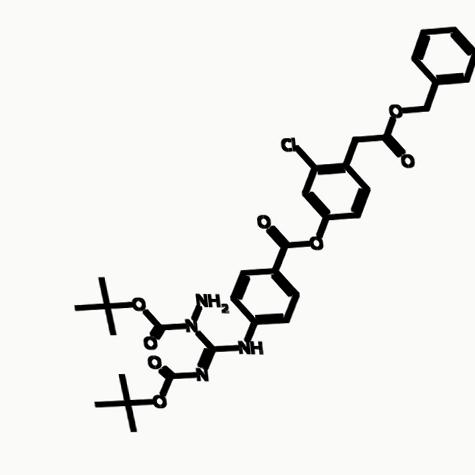 CC(C)(C)OC(=O)/N=C(/Nc1ccc(C(=O)Oc2ccc(CC(=O)OCc3ccccc3)c(Cl)c2)cc1)N(N)C(=O)OC(C)(C)C